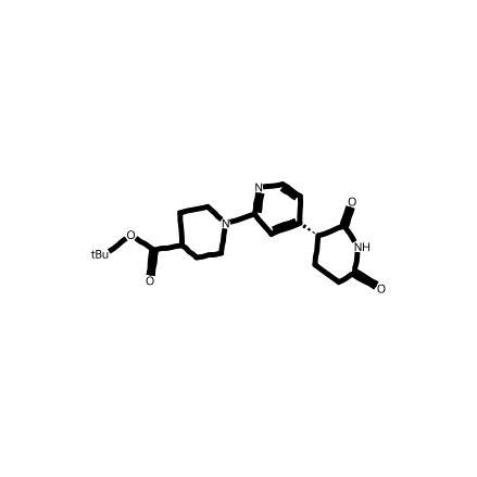 CC(C)(C)OC(=O)C1CCN(c2cc([C@H]3CCC(=O)NC3=O)ccn2)CC1